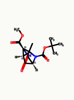 COC(=O)[C@@]12NC(=O)[C@@H]3C[C@@H]1C2N3C(=O)OC(C)(C)C